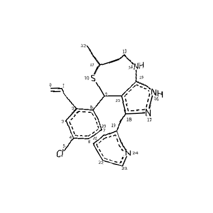 C=Cc1cc(Cl)ccc1C1SC(C)CNc2[nH]nc(-c3ccccn3)c21